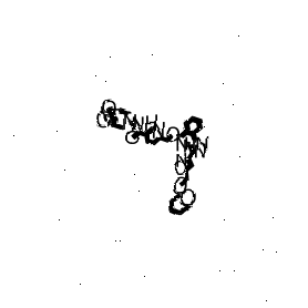 O=C(NN1CCS(=O)(=O)CC1)c1ccc(COc2nn3c(-c4cc(COC5CCCCO5)on4)nnc3c3ccccc23)nc1